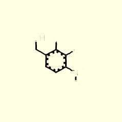 O=[N+]([O-])c1ccc(CO)c(Cl)c1Cl